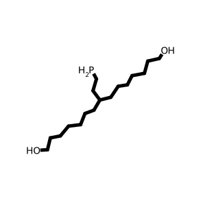 OCCCCCCCC(CCP)CCCCCCCO